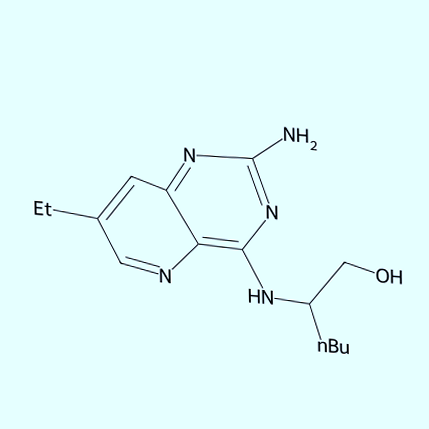 CCCCC(CO)Nc1nc(N)nc2cc(CC)cnc12